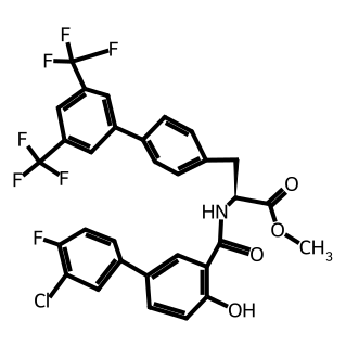 COC(=O)[C@H](Cc1ccc(-c2cc(C(F)(F)F)cc(C(F)(F)F)c2)cc1)NC(=O)c1cc(-c2ccc(F)c(Cl)c2)ccc1O